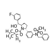 CC(C)(C)OC(=O)N1[C@@H](c2cccc(N(Cc3ccccc3)S(C)(=O)=O)c2)CC[C@@H]1[C@H](O)c1cccc(F)c1